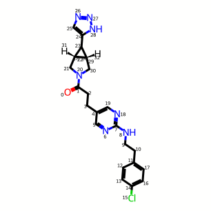 O=C(CCc1cnc(NCCc2ccc(Cl)cc2)nc1)N1C[C@@H]2C(c3cnn[nH]3)[C@@H]2C1